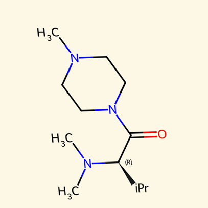 CC(C)[C@H](C(=O)N1CCN(C)CC1)N(C)C